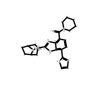 O=C(c1ccc(-c2nccs2)c2oc(N3CC4CCC(C3)N4C(=O)O)nc12)N1CCCCC1